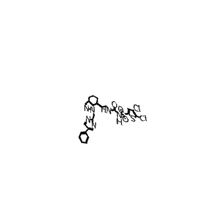 O=C(NCC=C1CCCc2cnn(Cc3ncc(-c4ccccc4)cn3)c21)NS(=O)(=O)c1cc(Cl)c(Cl)s1